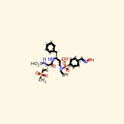 CC(C)CN(C[C@@H](O)[C@H](Cc1ccccc1)NC(=O)[C@H](CCS(C)(=O)=O)NC(=O)O)S(=O)(=O)c1ccc(C=NO)cc1